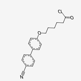 N#Cc1ccc(-c2ccc(OCCCCCC(=O)Cl)cc2)cc1